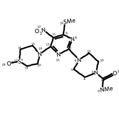 CNC(=O)N1CCN(c2nc(SC)c([N+](=O)[O-])c(N3CC[S+]([O-])CC3)n2)CC1